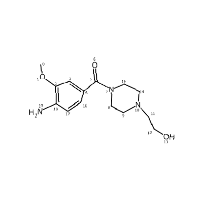 COc1cc(C(=O)N2CCN(CCO)CC2)ccc1N